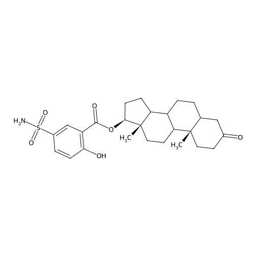 C[C@]12CCC(=O)CC1CCC1C2CC[C@@]2(C)C1CC[C@@H]2OC(=O)c1cc(S(N)(=O)=O)ccc1O